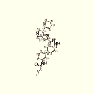 CCCC(=O)Nc1cncc(-c2ccc3[nH]nc(-c4nc5c(-c6ccccn6)cncc5[nH]4)c3c2)c1